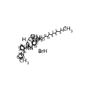 Br.CCCCCCCCCCCCCCOc1ccc(CC(=O)Nc2ccccc2CN2C=C(C)SC2)cc1C(C)(C)C